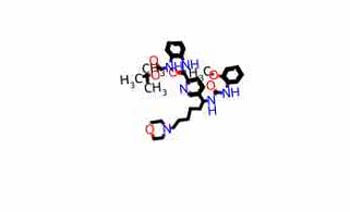 COc1ccccc1NC(=O)NC(CCCCCN1CCOCC1)c1ccc(C(=O)Nc2ccccc2NC(=O)OC(C)(C)C)nc1